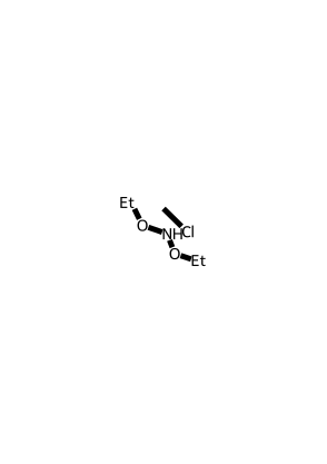 CCONOCC.CCl